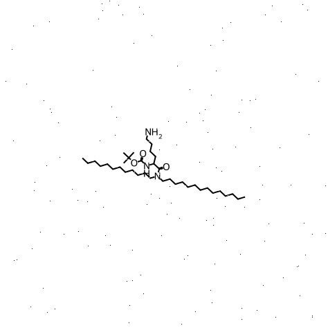 CCCCCCCCCCCCCCN(CCCCCCCCCCCC)C(=O)C(CCCCN)NC(=O)OC(C)(C)C